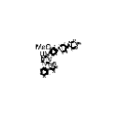 COc1cc(N2CCC(N3CCN(C)CC3)CC2)ccc1Nc1ncnc(N2OCC[C@@H]2c2ccccc2)n1